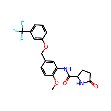 COc1ccc(COc2cccc(C(F)(F)F)c2)cc1NC(=O)C1CCC(=O)N1